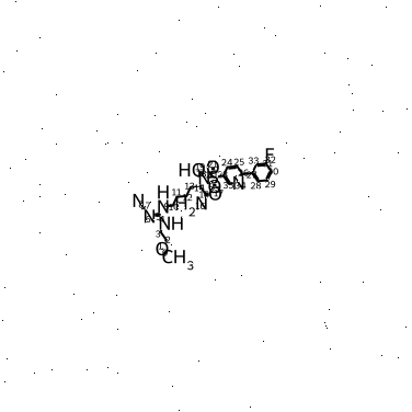 COCCN/C(=N/C#N)NCCCC[C@H](C(N)=O)N(O)S(=O)(=O)c1ccc(-c2cccc(F)c2)nc1